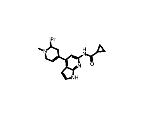 CC(C)C1CC(c2cc(NC(=O)C3CC3)nc3[nH]ccc23)=CCN1C